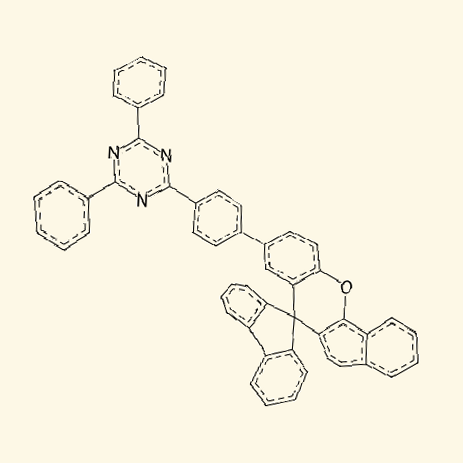 c1ccc(-c2nc(-c3ccccc3)nc(-c3ccc(-c4ccc5c(c4)C4(c6ccccc6-c6ccccc64)c4ccc6ccccc6c4O5)cc3)n2)cc1